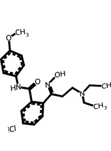 CCN(CC)CCC(=NO)c1ccccc1C(=O)Nc1ccc(OC)cc1.Cl